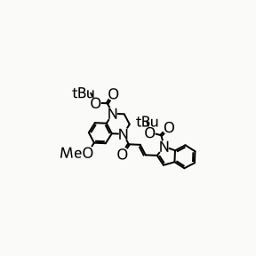 COc1ccc2c(c1)N(C(=O)C=Cc1cc3ccccc3n1C(=O)OC(C)(C)C)CCN2C(=O)OC(C)(C)C